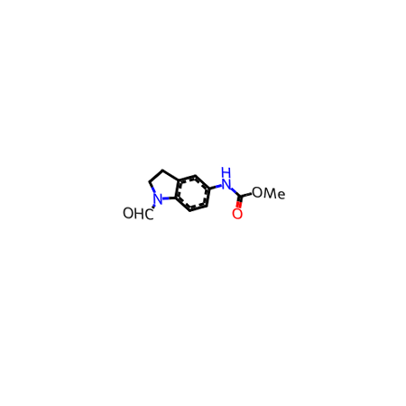 COC(=O)Nc1ccc2c(c1)CCN2C=O